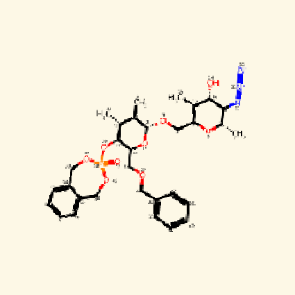 CC1[C@H](OCC2O[C@@H](C)C(N=[N+]=[N-])[C@@H](O)[C@@H]2C)OC(COCc2ccccc2)[C@@H](OP2(=O)OCc3ccccc3CO2)[C@@H]1C